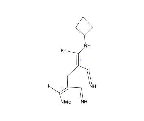 CN/C(I)=C(\C=N)C/C(C=N)=C(\Br)NC1CCC1